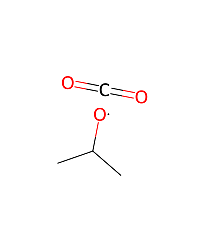 CC(C)[O].O=C=O